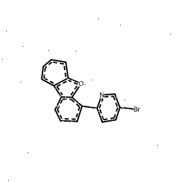 Brc1ccc(-c2cccc3c2oc2ccccc23)nc1